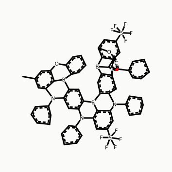 Cc1cc2c3c(c1)N(c1ccccc1)c1cc4c(cc1B3c1ccccc1O2)B1c2cc3c(cc2N(c2ccccc2)c2cc(S(F)(F)(F)(F)F)cc(c21)N4c1ccccc1)N(c1ccccc1)c1cc(S(F)(F)(F)(F)F)cc2c1B3c1ccccc1O2